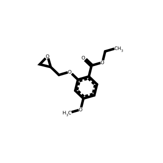 CCOC(=O)c1ccc(OC)cc1OCC1CO1